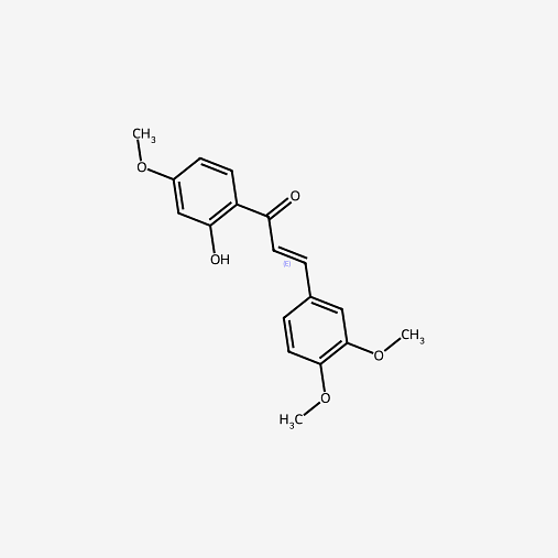 COc1ccc(C(=O)/C=C/c2ccc(OC)c(OC)c2)c(O)c1